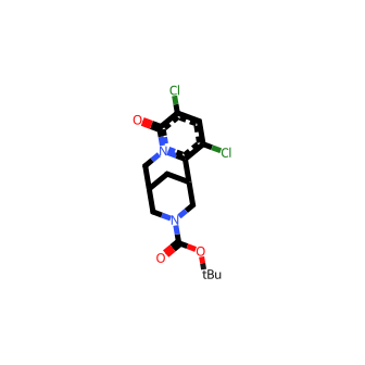 CC(C)(C)OC(=O)N1CC2CC(C1)c1c(Cl)cc(Cl)c(=O)n1C2